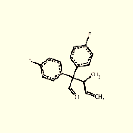 C=CC(C)C(C=O)(c1ccc(F)cc1)c1ccc(F)cc1